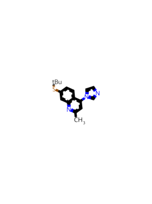 Cc1cc(-n2ccnc2)c2ccc(SC(C)(C)C)cc2n1